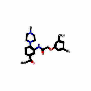 CCN1CCN(c2ccc(C(=O)OC)cc2NC(=O)COc2cc(C)cc(C(=O)O)c2)CC1